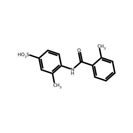 Cc1cc(S(=O)(=O)O)ccc1NC(=O)c1ccccc1C